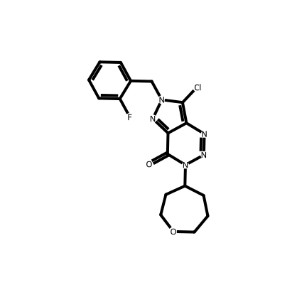 O=c1c2nn(Cc3ccccc3F)c(Cl)c2nnn1C1CCCOCC1